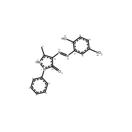 Cc1[nH]n(-c2ccccc2)c(=O)c1N=Nc1cc([N+](=O)[O-])ccc1O